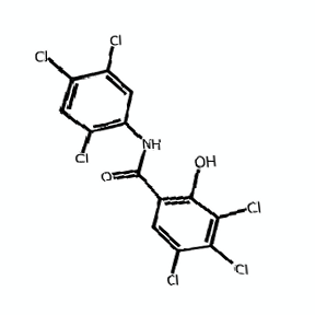 O=C(Nc1cc(Cl)c(Cl)cc1Cl)c1cc(Cl)c(Cl)c(Cl)c1O